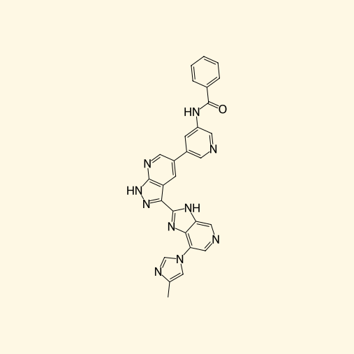 Cc1cn(-c2cncc3[nH]c(-c4n[nH]c5ncc(-c6cncc(NC(=O)c7ccccc7)c6)cc45)nc23)cn1